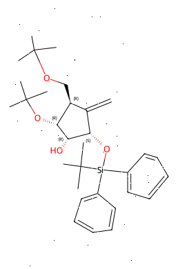 C=C1[C@H](COC(C)(C)C)[C@@H](OC(C)(C)C)[C@@H](O)[C@H]1O[Si](c1ccccc1)(c1ccccc1)C(C)(C)C